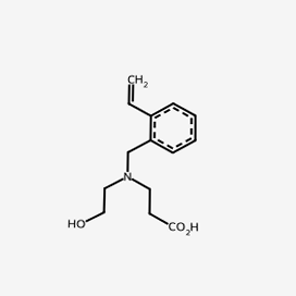 C=Cc1ccccc1CN(CCO)CCC(=O)O